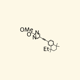 CCC1(C)CCC(C)(C)c2ccc(C#Cc3cnc(C(=O)OC)nc3)cc21